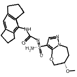 CO[C@H]1CCn2ncc([S@@](N)(=O)=NC(=O)Nc3c4c(cc5c3CCC5)CCC4)c2OC1